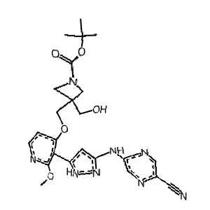 COc1nccc(OCC2(CO)CN(C(=O)OC(C)(C)C)C2)c1-c1cc(Nc2cnc(C#N)cn2)n[nH]1